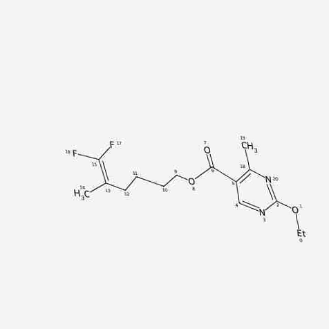 CCOc1ncc(C(=O)OCCCCC(C)=C(F)F)c(C)n1